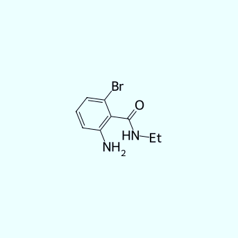 CCNC(=O)c1c(N)cccc1Br